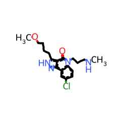 CNCCCn1c(=O)c2c(CCCCOC)[nH]nc2c2cc(Cl)ccc21